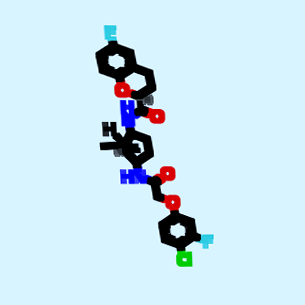 C[C@H]1CC2(NC(=O)COc3ccc(Cl)c(F)c3)CCC1(NC(=O)[C@H]1CCc3cc(F)ccc3O1)CC2